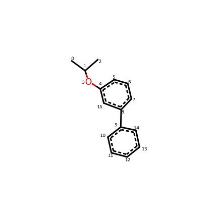 CC(C)Oc1cccc(-c2[c]cccc2)c1